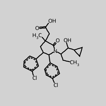 CCC(C(O)C1CC1)N1C(=O)C(C)(CC(=O)O)CC(c2cccc(Cl)c2)C1c1ccc(Cl)cc1